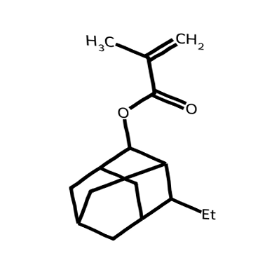 C=C(C)C(=O)OC1C2CC3CC(C2)C(CC)C1C3